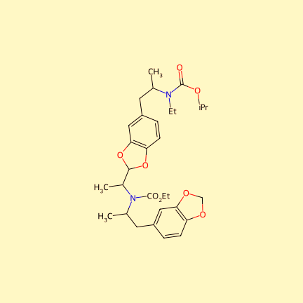 CCOC(=O)N(C(C)Cc1ccc2c(c1)OCO2)C(C)C1Oc2ccc(CC(C)N(CC)C(=O)OC(C)C)cc2O1